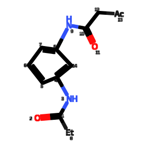 CCC(=O)Nc1cccc(NC(=O)CC(C)=O)c1